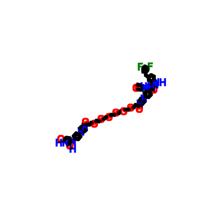 O=C1CCC(Nc2ccc(N3CCN(C(=O)CCOCCOCCOCCOCCOCCOCCC(=O)N4CCN(c5ccc(C(=O)Nc6n[nH]c7ccc(Cc8cc(F)cc(F)c8)cc67)c(NC6CCOCC6)c5)CC4)CC3)cc2)C(=O)N1